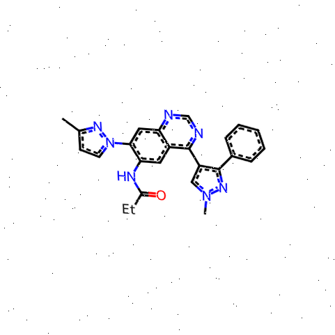 CCC(=O)Nc1cc2c(-c3cn(C)nc3-c3ccccc3)ncnc2cc1-n1ccc(C)n1